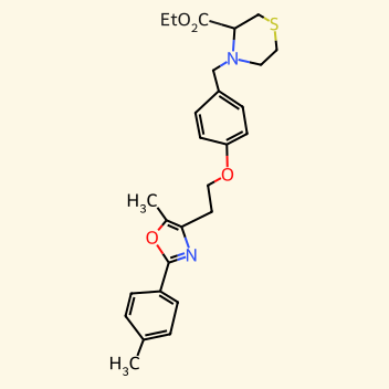 CCOC(=O)C1CSCCN1Cc1ccc(OCCc2nc(-c3ccc(C)cc3)oc2C)cc1